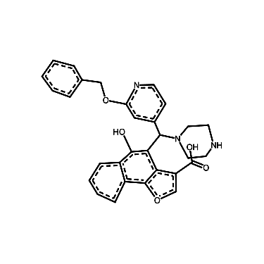 O=C(O)c1coc2c1c(C(c1ccnc(OCc3ccccc3)c1)N1CCNCC1)c(O)c1ccccc12